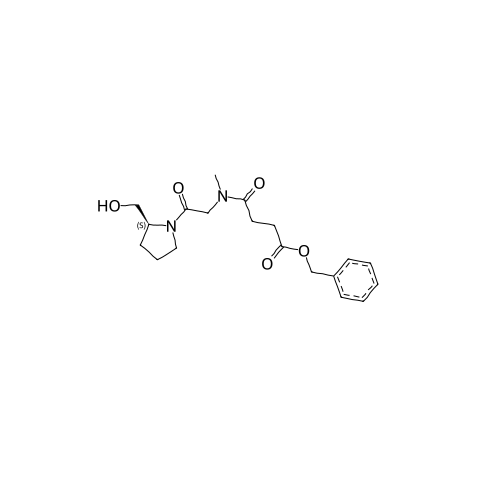 CN(CC(=O)N1CCC[C@H]1CO)C(=O)CCC(=O)OCc1ccccc1